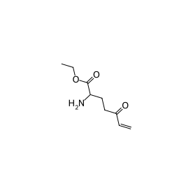 C=CC(=O)CCC(N)C(=O)OCC